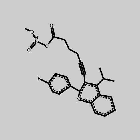 CO[PH](=O)OC(=O)CCCC#Cc1c(-c2ccc(F)cc2)nc2ccccc2c1C(C)C